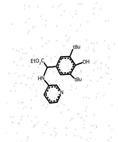 CCOC(=O)C(Nc1cccnc1)c1cc(C(C)(C)C)c(O)c(C(C)(C)C)c1